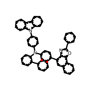 c1ccc(-c2nc3c(-c4ccc(N(c5ccc(-n6c7ccccc7c7ccccc76)cc5)c5ccccc5-c5ccccc5)cc4)cc4ccccc4c3o2)cc1